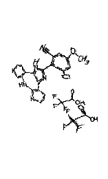 COc1cc(Cl)c(-c2nc3c([nH]2)-c2ccncc2Nc2ncccc2-3)c(C#N)c1.O=C(O)C(F)(F)F.O=C(O)C(F)(F)F